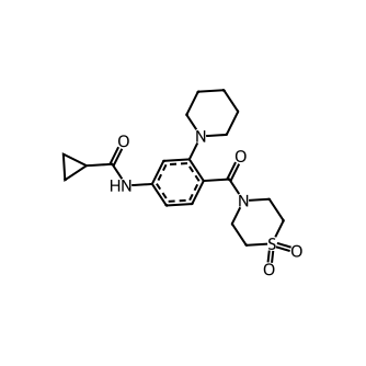 O=C(Nc1ccc(C(=O)N2CCS(=O)(=O)CC2)c(N2CCCCC2)c1)C1CC1